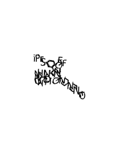 CC(C)Sc1ccc(OC(F)F)c(-c2nn(CC(O)N3CCC(N4CCN(C5COC5)CC4)CC3)cc2NC(=O)c2cnn3cccnc23)c1